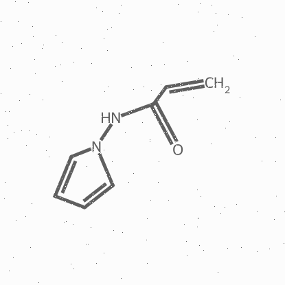 C=CC(=O)Nn1cccc1